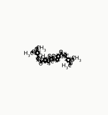 COc1ccc(C2=NN(C(=O)c3ccc4c(c3)CCN4C(C)C(=O)C(C)N3CCc4cc(C(=O)N5CCC(c6ccc(OC)c(OC)c6)=N5)ccc43)CC2)cc1OC